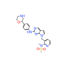 CN(c1ncccc1Cn1ccc2cnc(Nc3ccc(C4CNCCO4)cc3)nc21)S(C)(=O)=O